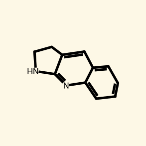 c1ccc2nc3c(cc2c1)CCN3